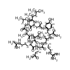 CC(C)C[C@H](NC(=O)[C@H](CC(N)=O)NC(=O)[C@@H](C)CC(C)C)C(=O)N[C@@H](C)C(=O)N[C@H](C(=O)N[C@@H](CCCNC(=N)N)C(=O)N[C@@H](CCC(N)=O)C(=O)N[C@@H](CCCNC(=N)N)C(=O)N[C@@H](Cc1ccc(O)cc1)C(N)=O)[C@@H](C)O